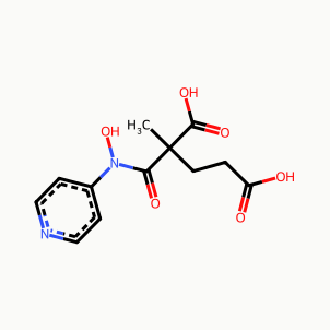 CC(CCC(=O)O)(C(=O)O)C(=O)N(O)c1ccncc1